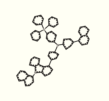 c1ccc([Si](c2ccccc2)(c2ccccc2)c2ccc(N(c3ccc(-c4cccc5ccccc45)cc3)c3ccc(-c4cccc5c4c4ccccc4n5-c4cccc5ccccc45)cc3)cc2)cc1